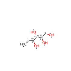 C=C[C@H](O)[C@H](O)[C@H](O)CO